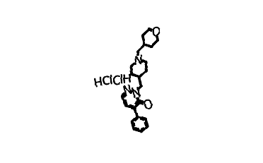 Cl.Cl.O=c1c(-c2ccccc2)ccnn1CC1CCN(CC2CCOCC2)CC1